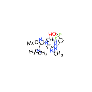 COc1ncc(N(C)c2ccc3nc(C)nc(NCc4cccc(C(F)(F)CO)c4)c3c2)cc1CCN(C)C